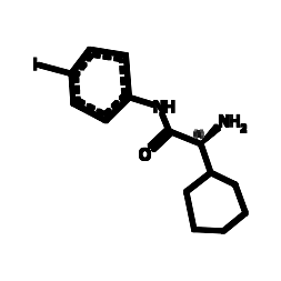 N[C@H](C(=O)Nc1ccc(I)cc1)C1CCCCC1